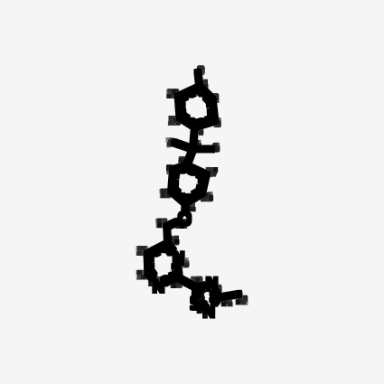 Cc1ccc(C(C)(C)c2ccc(OCc3ccnc(-c4nc(C)ns4)n3)cc2)cc1